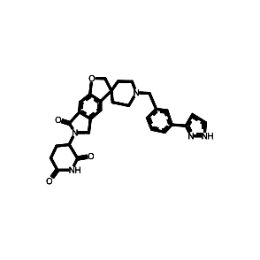 O=C1CCC(N2Cc3cc4c(cc3C2=O)OCC42CCN(Cc3cccc(-c4cc[nH]n4)c3)CC2)C(=O)N1